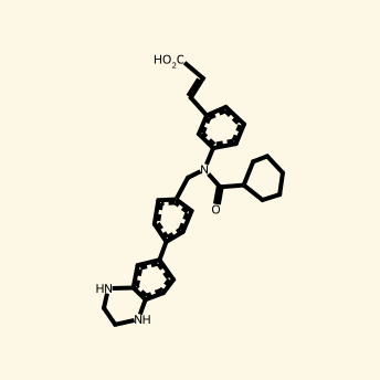 O=C(O)/C=C/c1cccc(N(Cc2ccc(-c3ccc4c(c3)NCCN4)cc2)C(=O)C2CCCCC2)c1